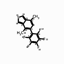 Cc1cc(-c2c(F)c(F)c(F)c(F)c2F)c(C)c2cscc12